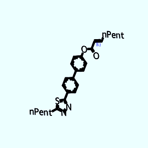 CCCCC/C=C/C(=O)Oc1ccc(-c2ccc(-c3nnc(CCCCC)s3)cc2)cc1